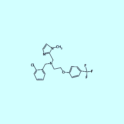 Cn1ccnc1CN(CCOc1ccc(C(F)(F)F)cc1)Cc1ccccc1Cl